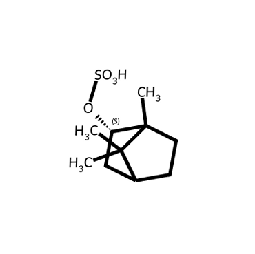 CC1(C)C2CCC1(C)[C@@H](OS(=O)(=O)O)C2